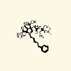 CCC1[C@](CC)(C(=O)O)N(CCCCCc2ccccc2)C[C@@]1(NC(=O)OC(C)(C)C)C(=O)O